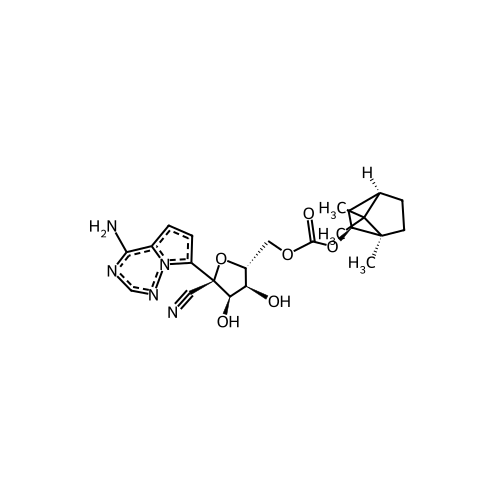 CC1(C)[C@@H]2CC[C@@]1(C)[C@@H](OC(=O)OC[C@H]1O[C@@](C#N)(c3ccc4c(N)ncnn34)[C@H](O)[C@@H]1O)C2